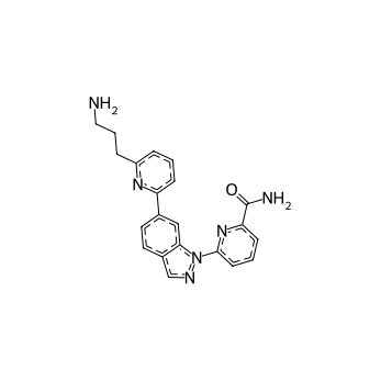 NCCCc1cccc(-c2ccc3cnn(-c4cccc(C(N)=O)n4)c3c2)n1